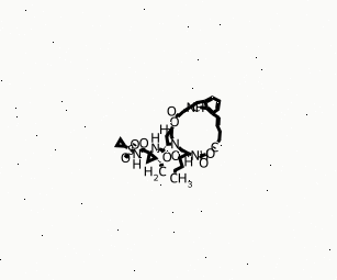 C=C[C@@H]1C[C@]1(NC(=O)[C@@H]1C[C@@H]2CN1C(=O)[C@H](CCCC)NC(=O)OCCC/C=C/c1cccc3c1CNC(C3)C(=O)O2)C(=O)NS(=O)(=O)C1CC1